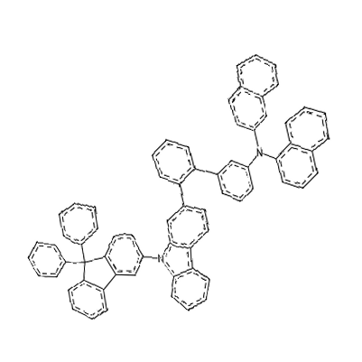 c1ccc(C2(c3ccccc3)c3ccccc3-c3cc(-n4c5ccccc5c5ccc(-c6ccccc6-c6cccc(N(c7ccc8ccccc8c7)c7cccc8ccccc78)c6)cc54)ccc32)cc1